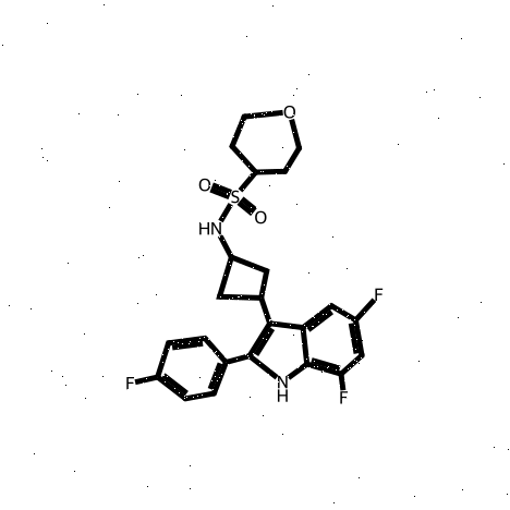 O=S(=O)(NC1CC(c2c(-c3ccc(F)cc3)[nH]c3c(F)cc(F)cc23)C1)C1CCOCC1